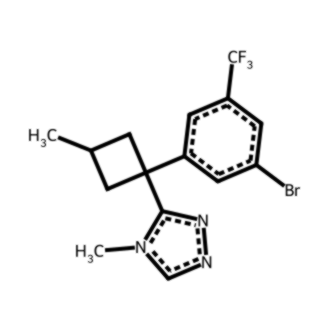 CC1CC(c2cc(Br)cc(C(F)(F)F)c2)(c2nncn2C)C1